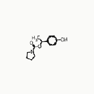 CC(OC(=O)N1CCCC1)c1ccc(O)cc1